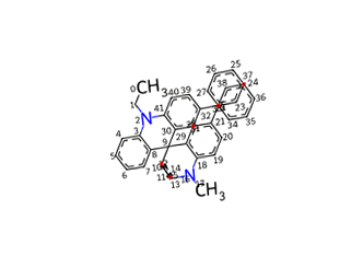 CCN1c2ccccc2C2(c3ccccc3N(C)c3ccc(-c4ccccc4)cc32)c2cc(-c3ccccc3)ccc21